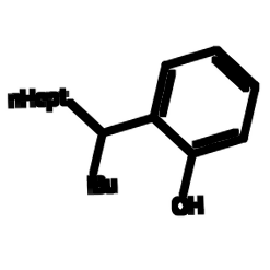 CCCCCCCC(c1ccccc1O)C(C)CC